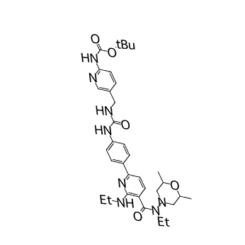 CCNc1nc(-c2ccc(NC(=O)NCc3ccc(NC(=O)OC(C)(C)C)nc3)cc2)ccc1C(=O)N(CC)N1CC(C)OC(C)C1